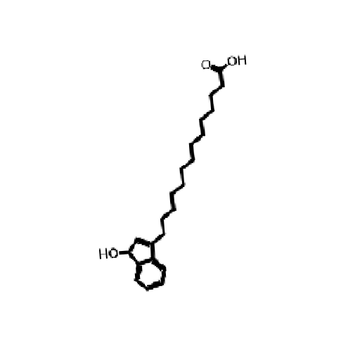 O=C(O)CCCCCCCCCCCCCC1=CC(O)c2ccccc21